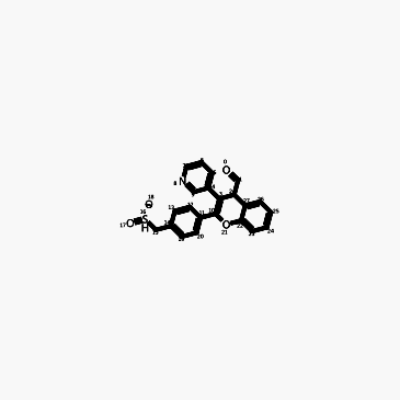 O=CC1C(c2cccnc2)=C(c2ccc(C[SH](=O)=O)cc2)Oc2ccccc21